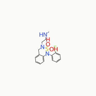 CNCCN1Cc2ccccc2N(c2ccccc2F)S1(O)O